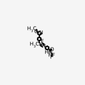 CCOc1cncc(-c2ccc(C(C)N3CCN(c4ccc(C(=O)NCC(F)(F)F)cc4)CC3)c(F)c2)c1